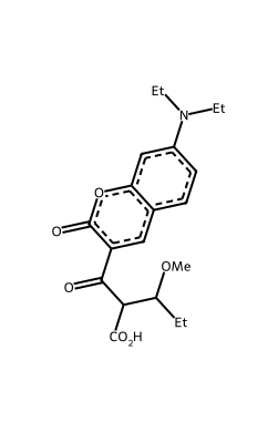 CCC(OC)C(C(=O)O)C(=O)c1cc2ccc(N(CC)CC)cc2oc1=O